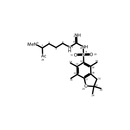 CNC(CCCNC(=N)NS(=O)(=O)c1c(C)c(C)c2c(c1C)CC(C)(C)O2)C(C)=O